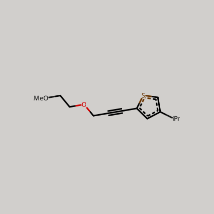 COCCOCC#Cc1cc(C(C)C)cs1